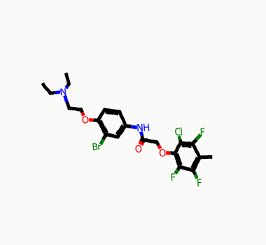 CCN(CC)CCOc1ccc(NC(=O)COc2c(F)c(F)c(C)c(F)c2Cl)cc1Br